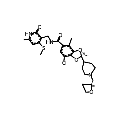 CSc1cc(C)[nH]c(=O)c1CNC(=O)c1cc(Cl)c2c(c1C)O[C@@](C)(C1CCN(C[C@H]3CCO3)CC1)O2